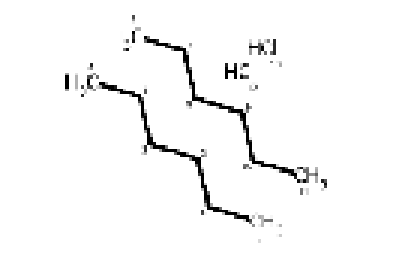 CCCCCC.CCCCCC.Cl.Cl